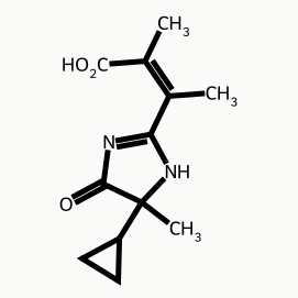 C/C(C(=O)O)=C(\C)C1=NC(=O)C(C)(C2CC2)N1